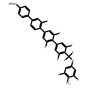 CCCCCc1ccc(-c2ccc(-c3cc(F)c(-c4cc(F)c(C(F)(F)Oc5cc(F)c(C(F)(F)F)c(F)c5)c(F)c4)c(F)c3)c(F)c2)cc1